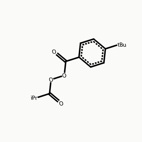 CC(C)C(=O)OOC(=O)c1ccc(C(C)(C)C)cc1